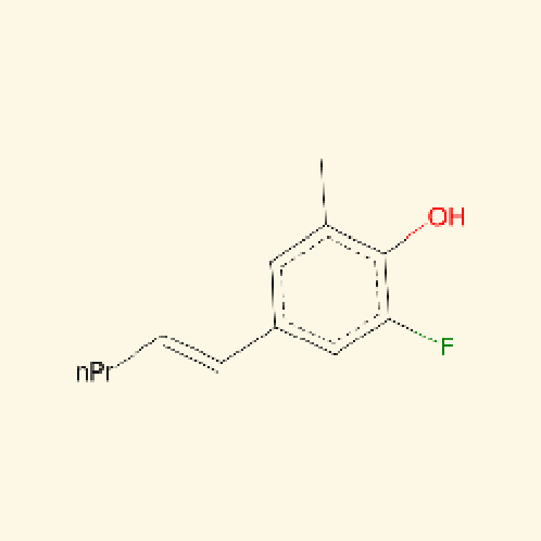 CCCC=Cc1cc(C)c(O)c(F)c1